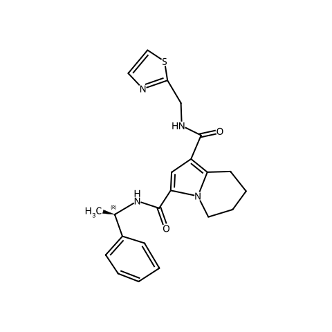 C[C@@H](NC(=O)c1cc(C(=O)NCc2nccs2)c2n1CCCC2)c1ccccc1